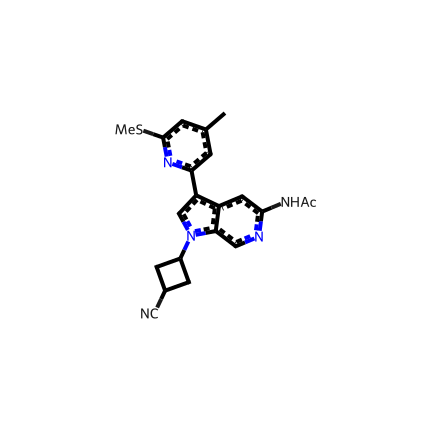 CSc1cc(C)cc(-c2cn(C3CC(C#N)C3)c3cnc(NC(C)=O)cc23)n1